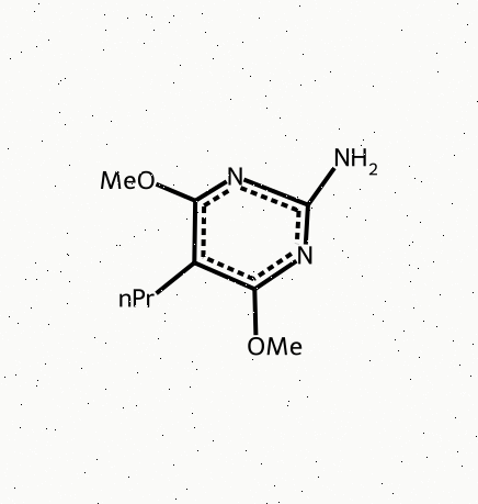 CCCc1c(OC)nc(N)nc1OC